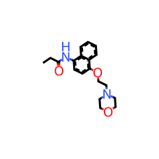 CCC(=O)Nc1ccc(OCCN2CCOCC2)c2ccccc12